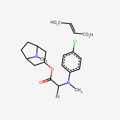 CCC(C(=O)OC1CC2CCC(C1)N2C)N(C)c1ccc(Cl)cc1.O=C(O)C=CC(=O)O